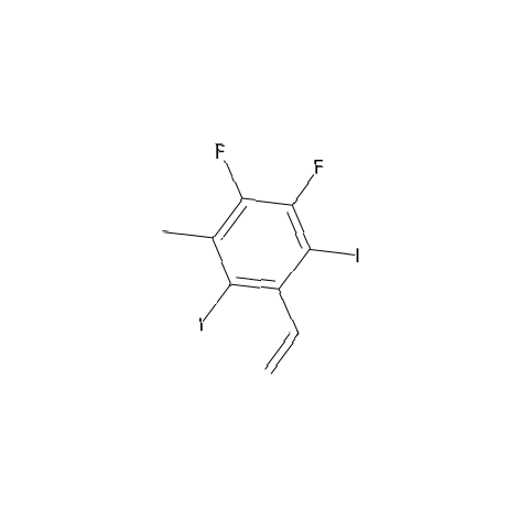 C=Cc1c(I)c(C)c(F)c(F)c1I